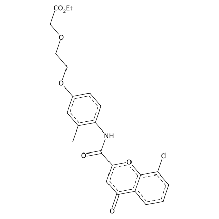 CCOC(=O)COCCOc1ccc(NC(=O)c2cc(=O)c3cccc(Cl)c3o2)c(C)c1